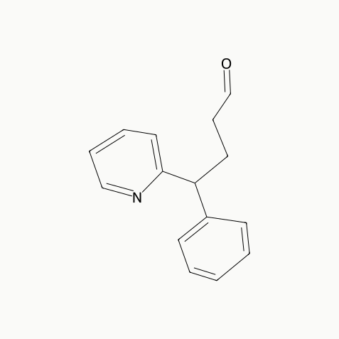 O=CCCC(c1ccccc1)c1ccccn1